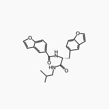 CC(C)CNC(=O)[C@@H](Cc1ccc2occc2c1)NC(=O)c1ccc2occc2c1